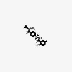 Cc1ccc(O)c(C(=O)NS(=O)(=O)c2ccc(C(=O)N(N)C3CC3)cc2)c1